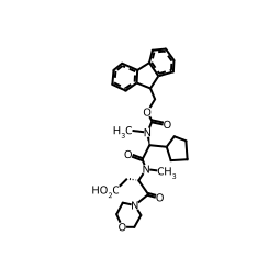 CN(C(=O)OCC1c2ccccc2-c2ccccc21)[C@H](C(=O)N(C)[C@@H](CC(=O)O)C(=O)N1CCOCC1)C1CCCC1